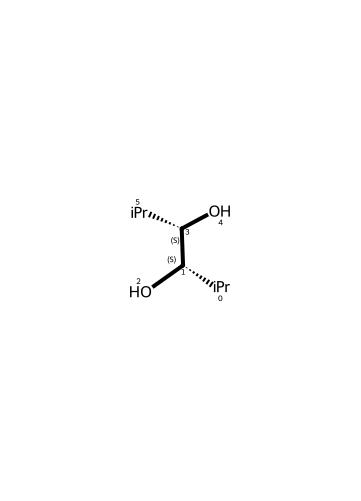 CC(C)[C@H](O)[C@@H](O)C(C)C